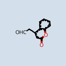 O=CCc1cc(=O)oc2ccccc12